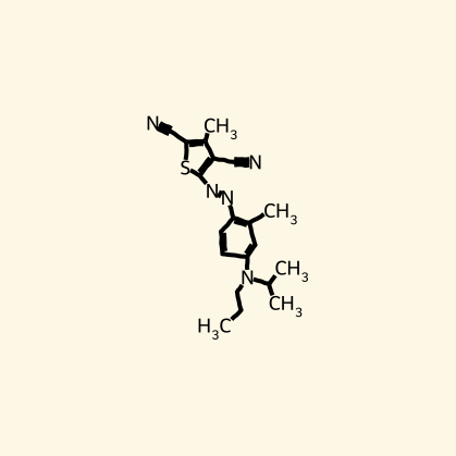 CCCN(c1ccc(/N=N/c2sc(C#N)c(C)c2C#N)c(C)c1)C(C)C